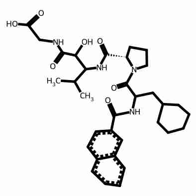 CC(C)C(NC(=O)[C@@H]1CCCN1C(=O)C(CC1CCCCC1)NC(=O)c1ccc2ccccc2c1)C(O)C(=O)NCC(=O)O